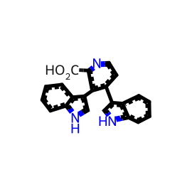 O=C(O)c1nccc(-c2c[nH]c3ccccc23)c1-c1c[nH]c2ccccc12